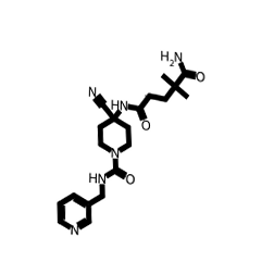 CC(C)(C[CH]C(=O)NC1(C#N)CCN(C(=O)NCc2cccnc2)CC1)C(N)=O